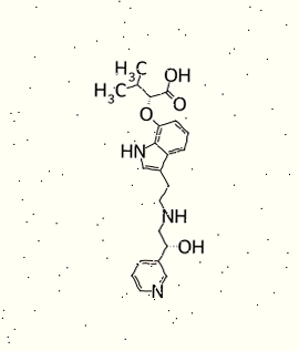 CC(C)[C@@H](Oc1cccc2c(CCNC[C@H](O)c3cccnc3)c[nH]c12)C(=O)O